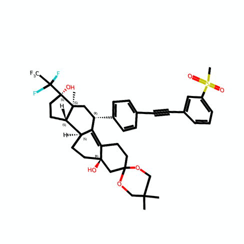 CC1(C)COC2(CCC3=C4[C@@H](CC[C@@]3(O)C2)[C@@H]2CC[C@@](O)(C(F)(F)C(F)(F)F)[C@@]2(C)C[C@@H]4c2ccc(C#Cc3cccc(S(C)(=O)=O)c3)cc2)OC1